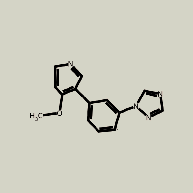 COc1ccncc1-c1cc[c]c(-n2cncn2)c1